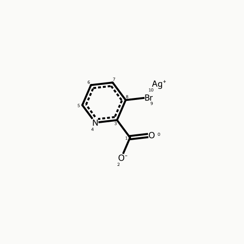 O=C([O-])c1ncccc1Br.[Ag+]